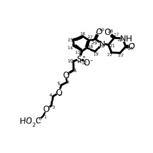 O=C(O)COCCOCCOCC[S+]([O-])c1cccc2c1CN(C1CCC(=O)NC1=O)C2=O